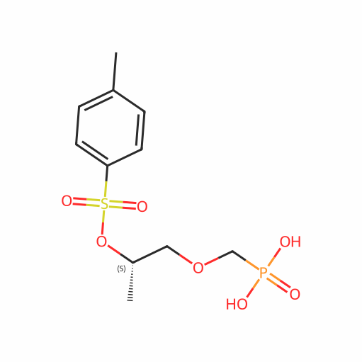 Cc1ccc(S(=O)(=O)O[C@@H](C)COCP(=O)(O)O)cc1